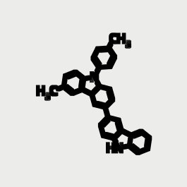 Cc1ccc(N2c3ccc(C)cc3C3C=C(c4ccc5[nH]c6ccccc6c5c4)C=CC32)cc1